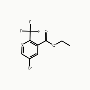 CCOC(=O)c1cc(Br)cnc1C(F)(F)F